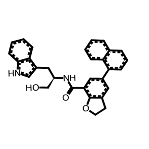 O=C(N[C@@H](CO)Cc1c[nH]c2ccccc12)c1cc(-c2cccc3ccccc23)cc2c1OCC2